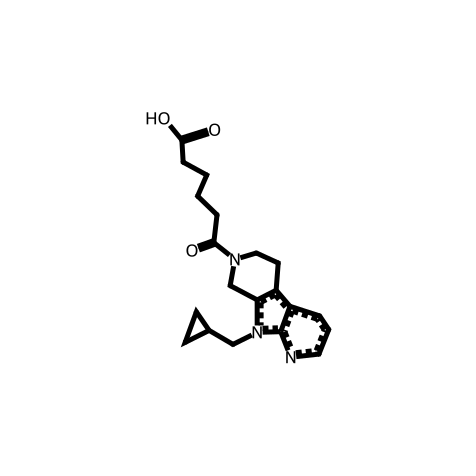 O=C(O)CCCCC(=O)N1CCc2c(n(CC3CC3)c3ncccc23)C1